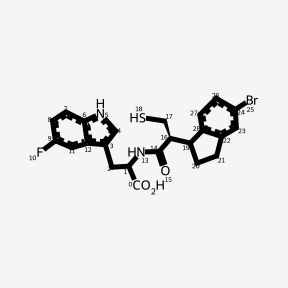 O=C(O)C(Cc1c[nH]c2ccc(F)cc12)NC(=O)[C@@H](CS)C1CCc2cc(Br)ccc21